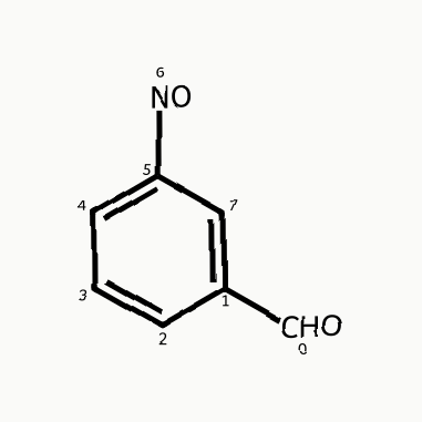 O=Cc1cccc(N=O)c1